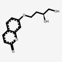 O=c1ccc2ccc(OCC[C@H](O)CO)cc2o1